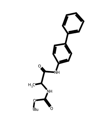 CC(NC(=O)OC(C)(C)C)C(=O)Nc1ccc(-c2ccccc2)cc1